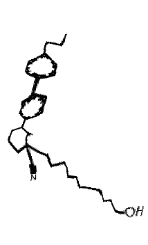 CCCc1ccc(-c2ccc(C3CCCC(C#N)(CCCCCCCCCCO)C3)cc2)cc1